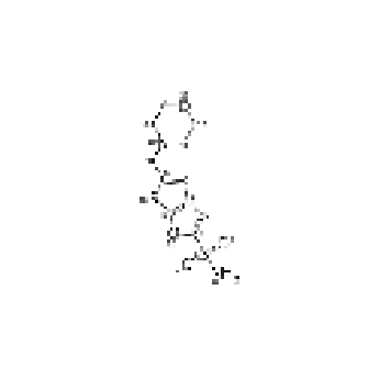 NS(=O)(=O)c1cc2cc(CN3CCOCC3)sc2o1